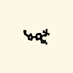 Cc1cc(-c2ccc(C=O)s2)ccc1OC(F)(F)F